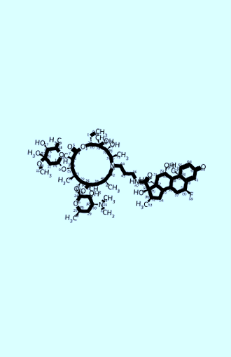 CC[C@H]1OC(=O)[C@H](C)[C@@H](O[C@@H]2C[C@](C)(OC)[C@H](O)C(C)O2)[C@H](C)[C@@H](O[C@@H]2O[C@H](C)C[C@@H](N(C)C)[C@H]2O)[C@](C)(O)C[C@@H](C)CN(CCCNC(=O)[C@@]2(O)[C@H](C)CC3C4C[C@H](F)C5=CC(=O)C=C[C@]5(C)C4[C@@H](O)C[C@@]32C)[C@H](C)[C@@H](O)[C@]1(C)O